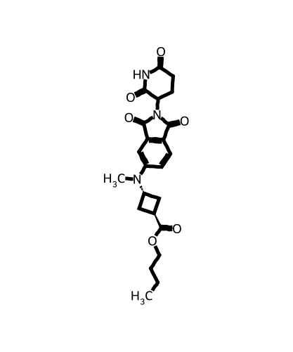 CCCCOC(=O)[C@H]1C[C@H](N(C)c2ccc3c(c2)C(=O)N(C2CCC(=O)NC2=O)C3=O)C1